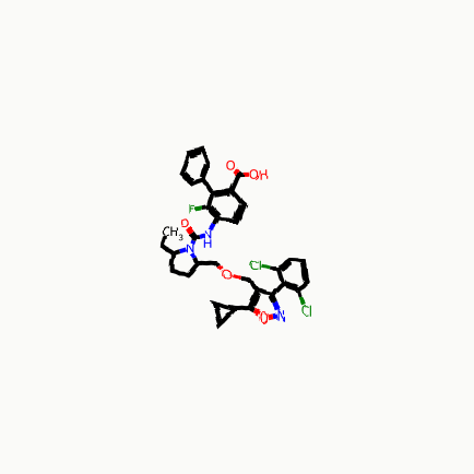 CCC1CCC(COCc2c(-c3c(Cl)cccc3Cl)noc2C2CC2)N1C(=O)Nc1ccc(C(=O)O)c(-c2ccccc2)c1F